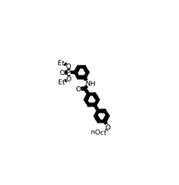 CCCCCCCCOc1ccc(-c2ccc(C(=O)Nc3cccc(P(=O)(OCC)OCC)c3)cc2)cc1